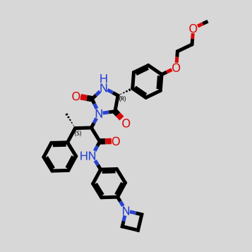 COCCOc1ccc([C@H]2NC(=O)N(C(C(=O)Nc3ccc(N4CCC4)cc3)[C@@H](C)c3ccccc3)C2=O)cc1